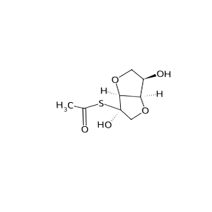 CC(=O)S[C@]1(O)CO[C@@H]2[C@H](O)CO[C@@H]21